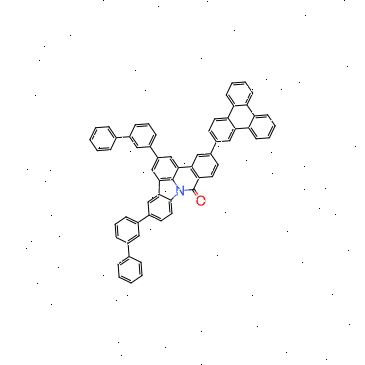 O=c1c2ccc(-c3ccc4c5ccccc5c5ccccc5c4c3)cc2c2cc(-c3cccc(-c4ccccc4)c3)cc3c4cc(-c5cccc(-c6ccccc6)c5)ccc4n1c23